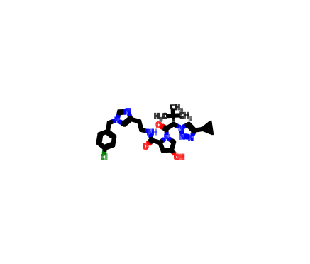 CC(C)(C)[C@@H](C(=O)N1CC(O)CC1C(=O)NCCc1cn(Cc2ccc(Cl)cc2)cn1)n1cc(C2CC2)nn1